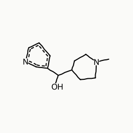 CN1CCC(C(O)c2cccnc2)CC1